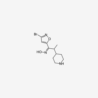 CC(C(=NO)c1cc(Br)no1)C1CCNCC1